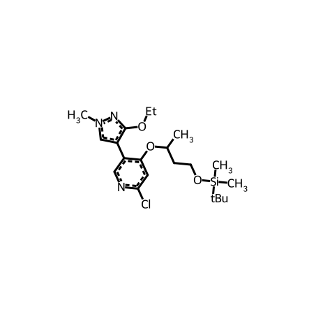 CCOc1nn(C)cc1-c1cnc(Cl)cc1OC(C)CCO[Si](C)(C)C(C)(C)C